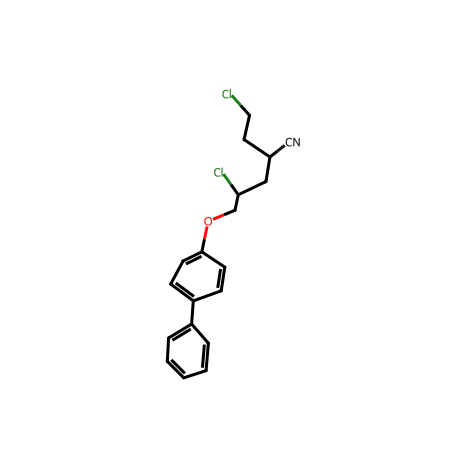 N#CC(CCCl)CC(Cl)COc1ccc(-c2ccccc2)cc1